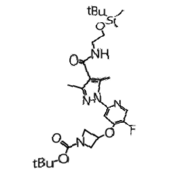 Cc1nn(-c2cc(OC3CN(C(=O)OC(C)(C)C)C3)c(F)cn2)c(C)c1C(=O)NCCO[Si](C)(C)C(C)(C)C